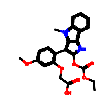 CCOC(=O)Oc1[nH]c2c3ccccc3n(C)c2c1-c1ccc(OC)cc1OCC(=O)O